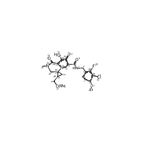 CCOc1ccc(CNC(=O)c2cn3c(c(O)c2=O)C(=O)N(C)C[C@]32C[C@H]2COC)c(F)c1Cl